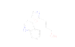 OCCCc1ncco1.c1ccc2ncccc2c1